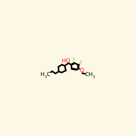 CCCC1CCC(C(O)c2ccc(OCC)c(F)c2F)CC1